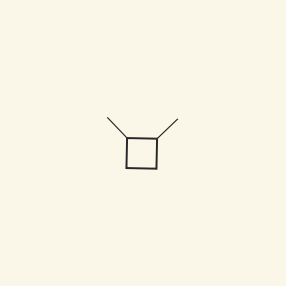 CC1CCC1C